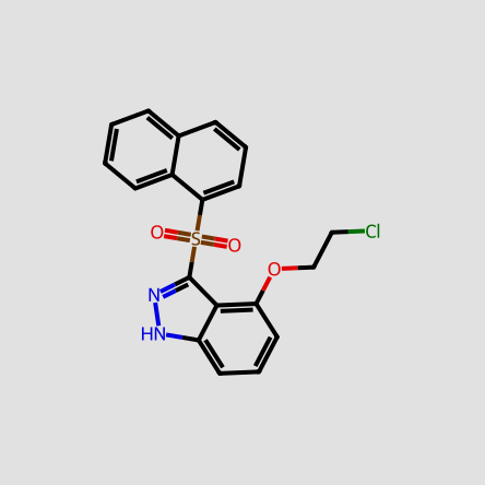 O=S(=O)(c1cccc2ccccc12)c1n[nH]c2cccc(OCCCl)c12